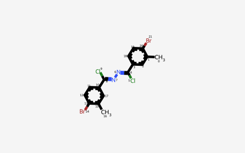 Cc1cc(C(Cl)=NN=C(Cl)c2ccc(Br)c(C)c2)ccc1Br